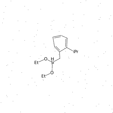 CCO[SiH](Cc1ccccc1C(C)C)OCC